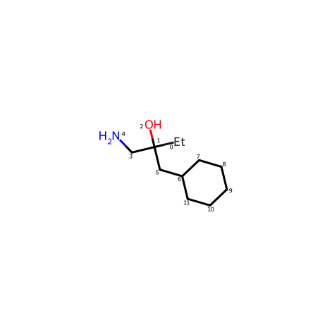 CCC(O)(CN)CC1CCCCC1